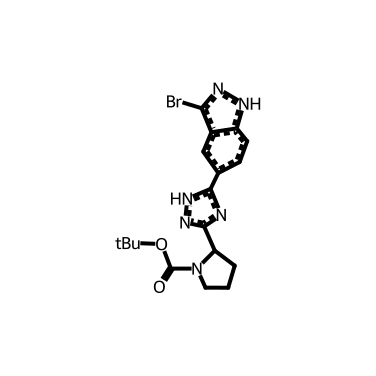 CC(C)(C)OC(=O)N1CCCC1c1n[nH]c(-c2ccc3[nH]nc(Br)c3c2)n1